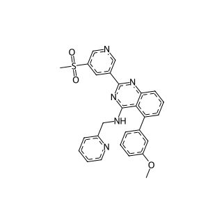 COc1cccc(-c2cccc3nc(-c4cncc(S(C)(=O)=O)c4)nc(NCc4ccccn4)c23)c1